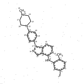 Cc1ccc(F)cc1Nc1ncnc2c1cnn2-c1ccc(N2CCN(C)CC2)cc1